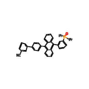 CC(C)P(=O)(c1cccc(-c2c3ccccc3c(-c3ccc(-c4cccc(C#N)c4)cc3)c3ccccc23)c1)C(C)C